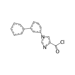 O=C(Cl)c1cn(-c2cccc(-c3ccccc3)c2)cn1